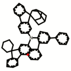 c1ccc(-c2ccc(N(c3ccc4c(c3)C3(CCCCC3)c3ccccc3-4)c3ccc4c(c3)C3(c5ccccc5-4)C4CC5CC(C4)CC3C5)c(-c3ccccc3)c2)cc1